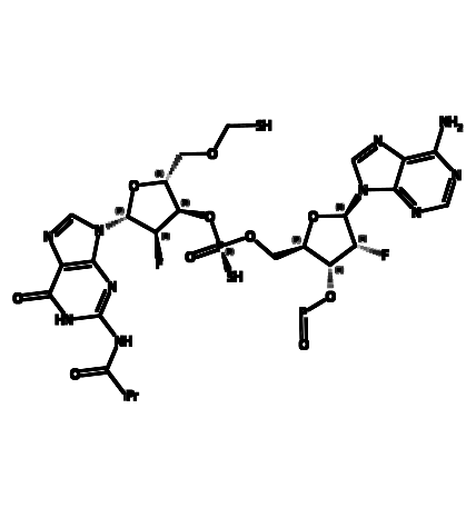 CC(C)C(=O)Nc1nc2c(ncn2[C@@H]2O[C@H](COCS)[C@@H](O[P@](=O)(S)OC[C@H]3O[C@@H](n4cnc5c(N)ncnc54)[C@H](F)[C@@H]3OP=O)[C@H]2F)c(=O)[nH]1